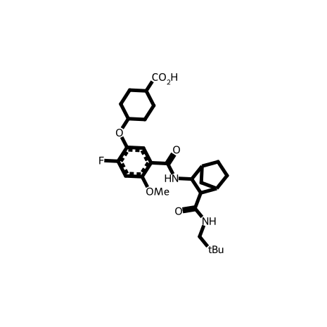 COc1cc(F)c(OC2CCC(C(=O)O)CC2)cc1C(=O)NC1C2CCC(C2)C1C(=O)NCC(C)(C)C